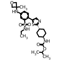 CCNS(=O)(=O)c1cc(NC2(C)COC2)ccc1-c1cnc([C@H]2CC[C@H](NC(=O)OC(C)C)CC2)s1